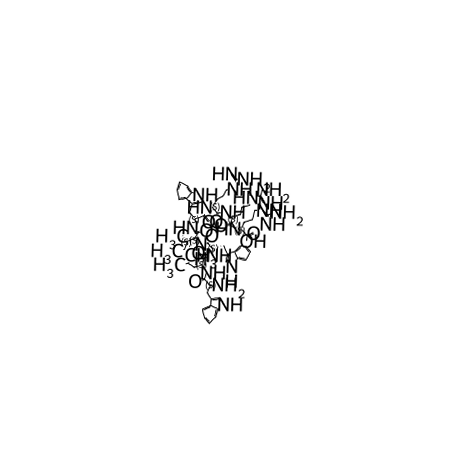 CC[C@H](C)[C@H](NC(=O)[C@H](Cc1c[nH]c2ccccc12)NC(=O)[C@H](CC(C)C)NC(=O)[C@@H](N)Cc1c[nH]c2ccccc12)C(=O)N[C@@H](Cc1c[nH]c2ccccc12)C(=O)N[C@@H](CCCNC(=N)N)C(=O)N[C@@H](CCCNC(=N)N)C(=O)N[C@@H](CCCNC(=N)N)C(=O)O